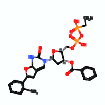 O=C(O)CP(=O)(O)OP(=O)(O)OC[C@H]1O[C@@H](N2C=C3C=C(c4ccccc4[N+](=O)[O-])OC3NC2=O)C[C@H]1OC(=O)c1ccccc1